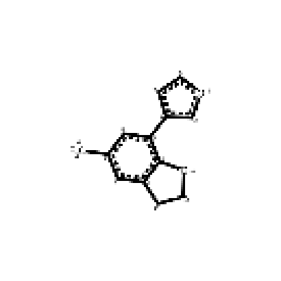 FC(F)(F)c1cc2c(c(-c3ccoc3)c1)O[CH]C2